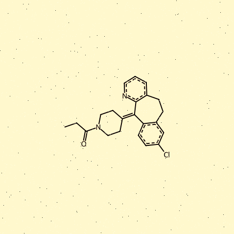 CCC(=O)N1CCC(=C2c3ccc(Cl)cc3CCc3cccnc32)CC1